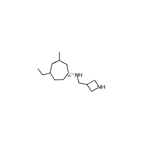 CCC1CC[C@@H](NCC2CNC2)CC(C)C1